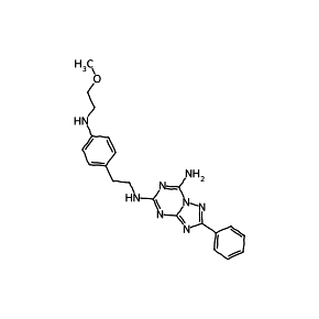 COCCNc1ccc(CCNc2nc(N)n3nc(-c4ccccc4)nc3n2)cc1